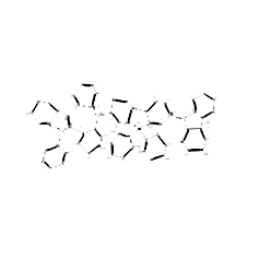 c1ccc(-n2c3c(c4ccccc42)-c2ccccc2N(c2ccc4c(c2)C(c2ccccc2)(c2ccccc2)c2cc(-n5c6ccccc6c6ccccc65)ccc2-4)c2ccccc2-3)cc1